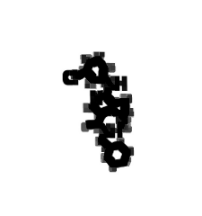 C=C(NCC1CCCCC1)c1cnc(Nc2cccc(Cl)c2)c2ccn(C)c12